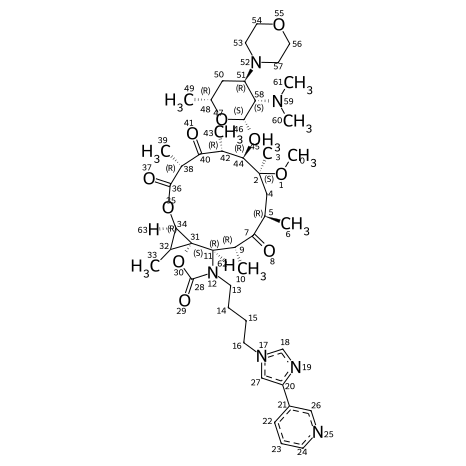 CO[C@@]1(C)C[C@@H](C)C(=O)[C@H](C)[C@H]2N(CCCCn3cnc(-c4cccnc4)c3)C(=O)O[C@@]23C(C)[C@H]3OC(=O)[C@H](C)C(=O)[C@H](C)[C@H]1O[C@@H]1O[C@H](C)C[C@@H](N2CCOCC2)[C@@H]1N(C)C